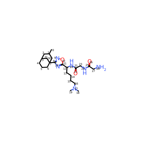 CC1CC2CCCC(c3noc(C(CCCCN(C)C)NC(=O)CNC(=O)CN)n3)(C1)C2